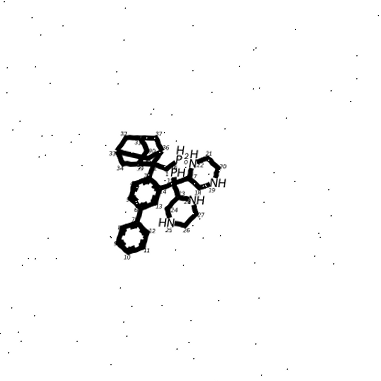 PCC1(c2ccc(-c3ccccc3)cc2C(P)(C2CNCCN2)C2CNCCN2)C2CC3CC(C2)CC1C3